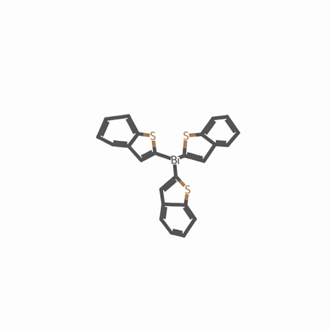 c1ccc2s[c]([Bi]([c]3cc4ccccc4s3)[c]3cc4ccccc4s3)cc2c1